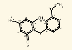 COc1cccc(Cn2c(C)cc(O)cc2=O)c1